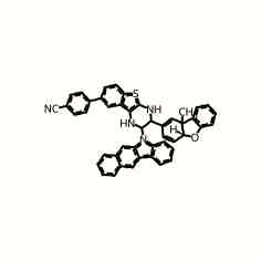 CC12C=C(C3Nc4sc5ccc(-c6ccc(C#N)cc6)cc5c4NC3n3c4ccccc4c4cc5ccccc5cc43)C=C[C@H]1Oc1ccccc12